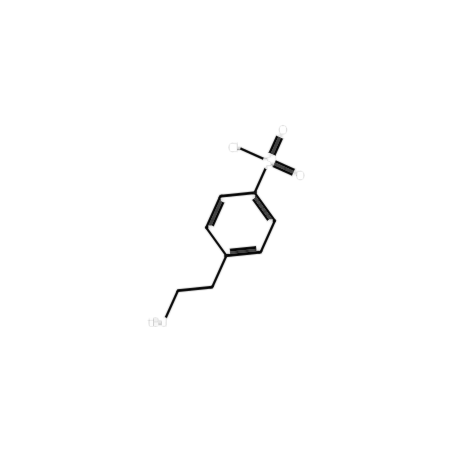 CC(C)(C)CCc1ccc(S(=O)(=O)Cl)cc1